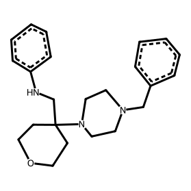 c1ccc(CN2CCN(C3(CNc4ccccc4)CCOCC3)CC2)cc1